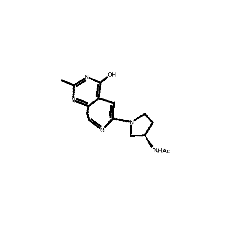 CC(=O)N[C@@H]1CCN(c2cc3c(O)nc(C)nc3cn2)C1